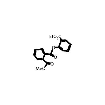 CCOC(=O)c1ccccc1OC(=O)c1ccccc1C(=O)OC